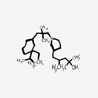 CCC1(C(C)C)CCCC(CC(C)(C)CN2CCC(CC(C)CC(C)(C)O)C2)C1